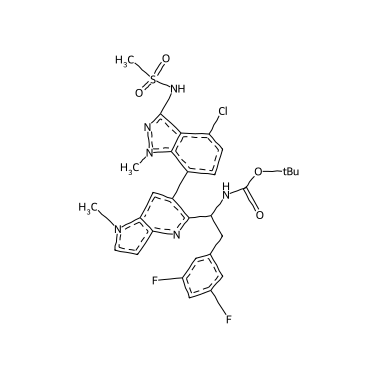 Cn1ccc2nc(C(Cc3cc(F)cc(F)c3)NC(=O)OC(C)(C)C)c(-c3ccc(Cl)c4c(NS(C)(=O)=O)nn(C)c34)cc21